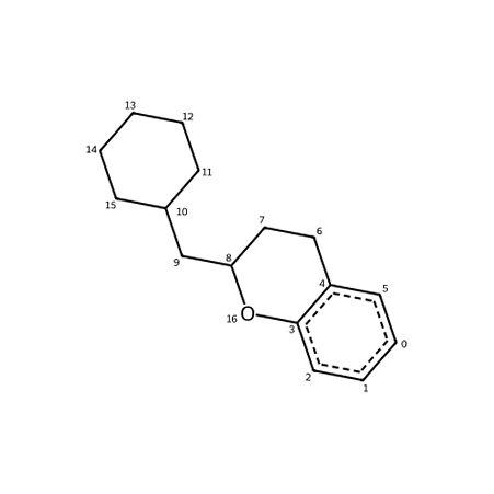 c1ccc2c(c1)CCC(CC1CCCCC1)O2